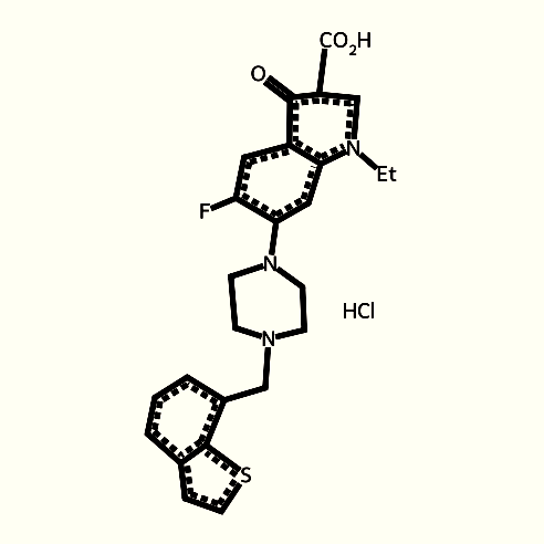 CCn1cc(C(=O)O)c(=O)c2cc(F)c(N3CCN(Cc4cccc5ccsc45)CC3)cc21.Cl